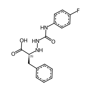 O=C(NN[C@@H](Cc1ccccc1)C(=O)O)Nc1ccc(F)cc1